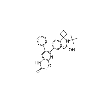 CC(C)(C)N(C(=O)O)C1(c2ccc(-c3nc4c(cc3-c3ccccc3)NC(=O)CO4)cc2)CCC1